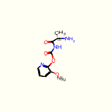 CCCCOc1cccnc1OC(=O)NC(=O)[C@H](C)N